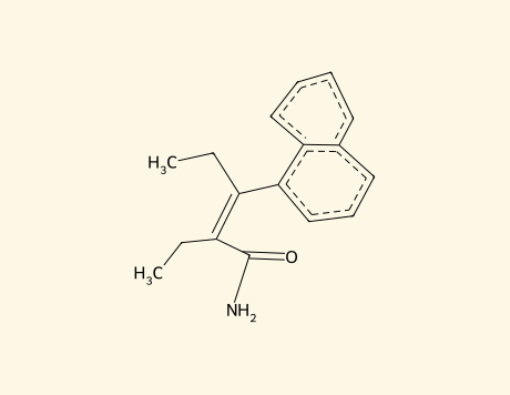 CCC(C(N)=O)=C(CC)c1cccc2ccccc12